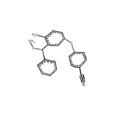 COC(c1ccccc1)c1cc(Oc2ccc(C#N)cc2)ccc1C